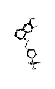 COc1cc2nccc(OC[C@@H]3CCN([S@@](C)(=N)=O)C3)c2cc1F